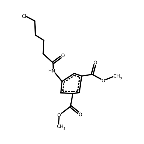 COC(=O)c1cc(NC(=O)CCCCCl)cc(C(=O)OC)c1